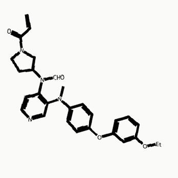 C=CC(=O)N1CCC(N(C=O)c2ccncc2N(C)c2ccc(Oc3cccc(OCC)c3)cc2)C1